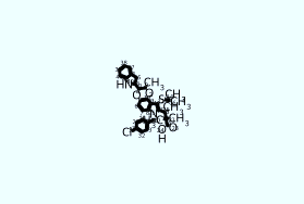 CC(=O)C(Oc1ccc2c(c1)c(SC(C)(C)C)c(CC(C)(C)C(=O)O)n2Cc1ccc(Cl)cc1)C1Cc2ccccc2N1